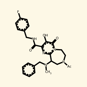 CC(=O)N1CCn2c(nc(C(=O)NCc3ccc(F)cc3)c(O)c2=O)C(N(C)Cc2ccccc2)C1